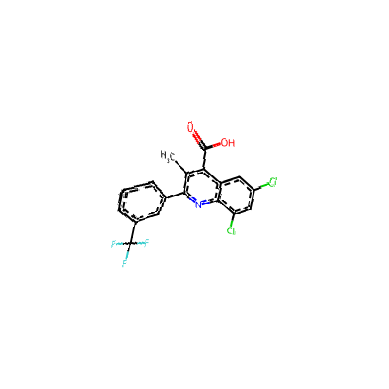 Cc1c(-c2cccc(C(F)(F)F)c2)nc2c(Cl)cc(Cl)cc2c1C(=O)O